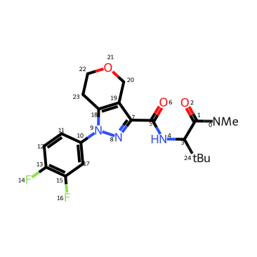 CNC(=O)C(NC(=O)c1nn(-c2ccc(F)c(F)c2)c2c1COCC2)C(C)(C)C